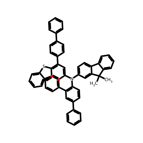 CC1(C)c2ccccc2-c2ccc(N(c3cc(-c4ccc(-c5ccccc5)cc4)c4sc5ccccc5c4c3)c3ccc(-c4ccccc4)cc3-c3ccccc3)cc21